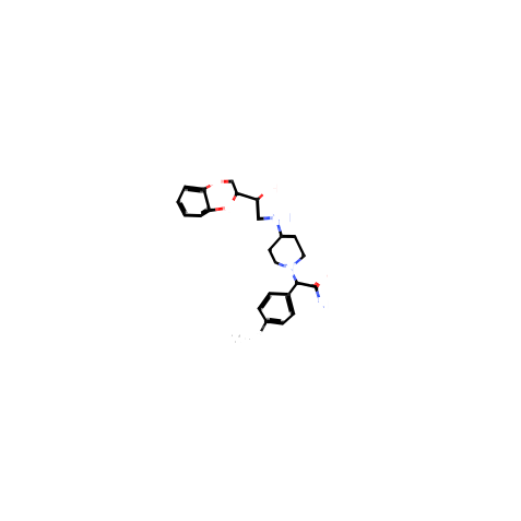 COc1ccc(C(C(N)=O)N2CCC(NCC(O)C3COc4ccccc4O3)CC2)cc1